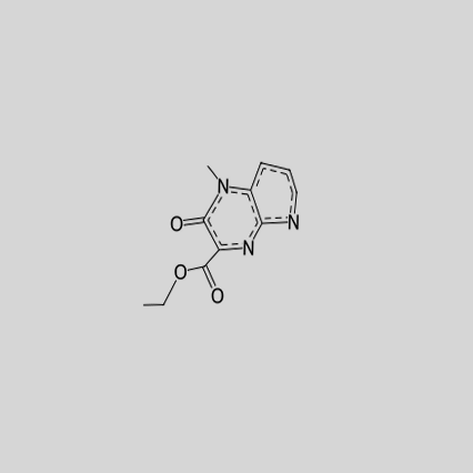 CCOC(=O)c1nc2ncccc2n(C)c1=O